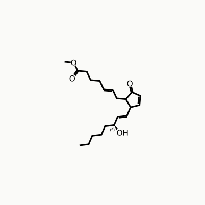 CCCCC[C@H](O)C=CC1C=CC(=O)C1CC=CCCCC(=O)OC